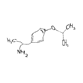 CC(C)Oc1ccc(C(C)N)cc1